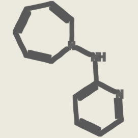 C1=CC=CN(Nc2ccccn2)C=C1